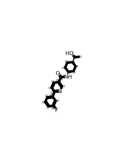 CC(O)[C@H]1CC[C@H](NC(=O)c2ccc(-c3cccc(F)c3)nc2)CC1